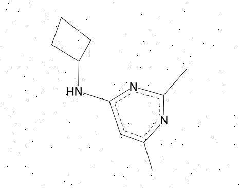 Cc1cc(NC2CCC2)nc(C)n1